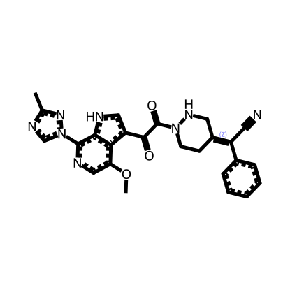 COc1cnc(-n2cnc(C)n2)c2[nH]cc(C(=O)C(=O)N3CC/C(=C(/C#N)c4ccccc4)CN3)c12